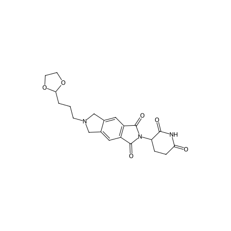 O=C1CCC(N2C(=O)c3cc4c(cc3C2=O)CN(CCCC2OCCO2)C4)C(=O)N1